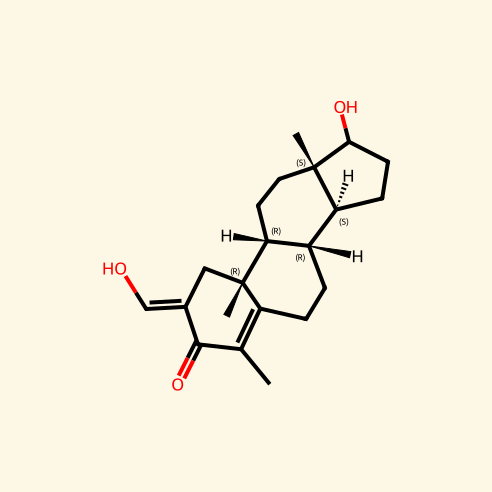 CC1=C2CC[C@@H]3[C@@H](CC[C@]4(C)C(O)CC[C@@H]34)[C@@]2(C)CC(=CO)C1=O